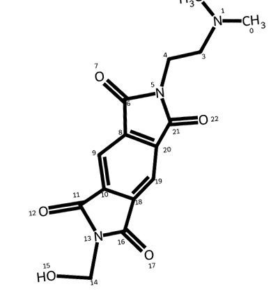 CN(C)CCn1c(=O)c2cc3c(=O)n(CO)c(=O)c3cc2c1=O